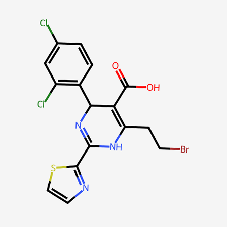 O=C(O)C1=C(CCBr)NC(c2nccs2)=NC1c1ccc(Cl)cc1Cl